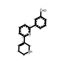 O=Cc1cccc(-c2cccc(C3=CCCNC3)n2)c1